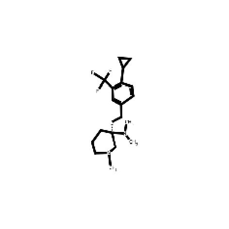 CN1CCC[C@@](CCc2ccc(C3CC3)c(C(F)(F)F)c2)(N(C)C)C1